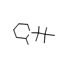 CC1CCCCN1C(C)(C)C(C)(C)C